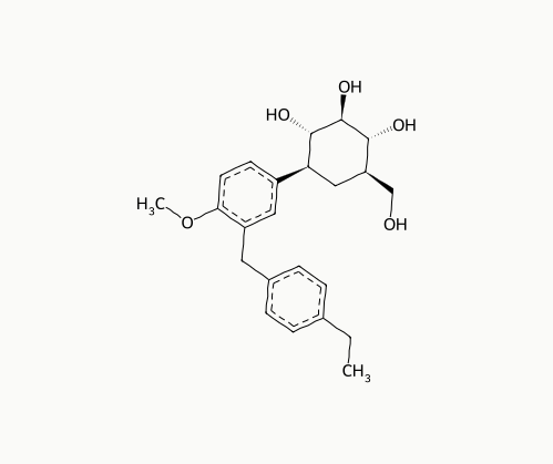 CCc1ccc(Cc2cc([C@@H]3C[C@H](CO)[C@@H](O)[C@H](O)[C@H]3O)ccc2OC)cc1